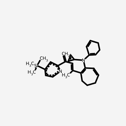 C=C(/C=C(\C)C1=C(N(C2=CCCC=C2)C2C=C2)C=CCCC1)c1cc([Si](C)(C)C)ccn1